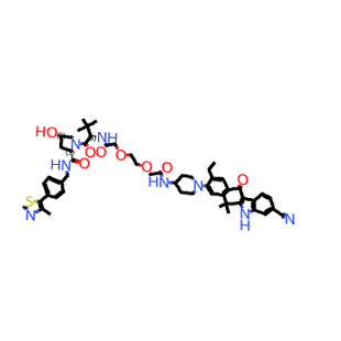 CCc1cc2c(cc1N1CCC(NC(=O)COCCOCC(=O)N[C@H](C(=O)N3C[C@H](O)C[C@H]3C(=O)NCc3ccc(-c4scnc4C)cc3)C(C)(C)C)CC1)C(C)(C)c1[nH]c3cc(C#N)ccc3c1C2=O